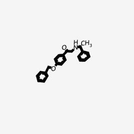 C[C@@H](NCC(=O)c1ccc(OCc2ccccc2)cc1)c1ccccc1